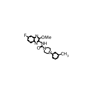 COc1nc2cc(F)ccc2nc1NC(=O)N1CCN(c2cccc(C)c2)CC1